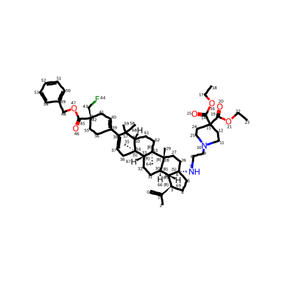 C=C(C)[C@@H]1CC[C@]2(NCCN3CCC(C(=O)OCC)(C(=O)OCC)CC3)CC[C@]3(C)[C@H](CC[C@@H]4[C@@]5(C)CC=C(C6=CC[C@@](CF)(C(=O)OCc7ccccc7)CC6)C(C)(C)[C@@H]5CC[C@]43C)[C@@H]12